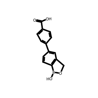 O=C(O)c1ccc(-c2ccc3c(c2)COB3O)cc1